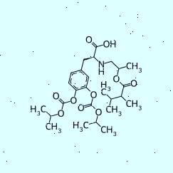 CC(C)OC(=O)Oc1ccc(C[C@H](NCC(C)OC(=O)C(C)C(C)C)C(=O)O)cc1OC(=O)OC(C)C